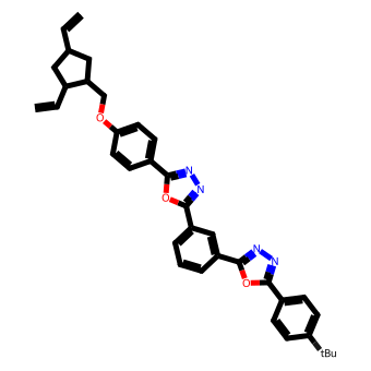 C=CC1CC(C=C)C(COc2ccc(-c3nnc(-c4cccc(-c5nnc(-c6ccc(C(C)(C)C)cc6)o5)c4)o3)cc2)C1